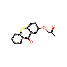 CC(=O)COc1ccc2sc3ccccc3c(=O)c2c1